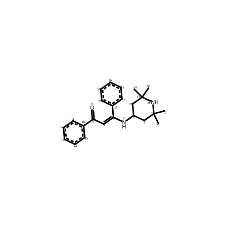 CC1(C)CC(NC(=CC(=O)c2ccccc2)c2ccccc2)CC(C)(C)N1